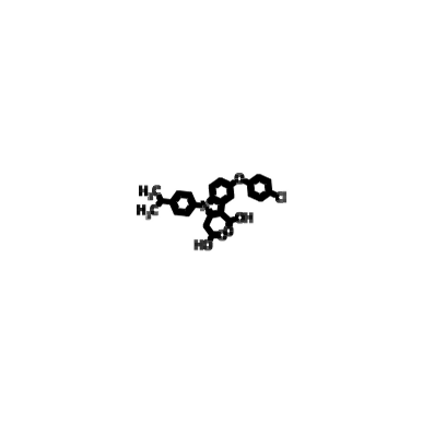 CC(C)c1ccc(-n2c(CC(=O)O)c(C(=O)O)c3cc(Oc4ccc(Cl)cc4)ccc32)cc1